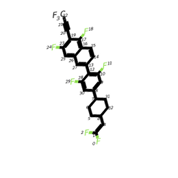 FC(F)=CC1CCC(c2cc(F)c(-c3ccc4c(F)c(C#CC(F)(F)F)c(F)cc4c3)c(F)c2)CC1